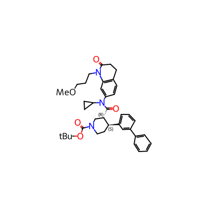 COCCCN1C(=O)CCc2ccc(N(C(=O)[C@H]3CN(C(=O)OC(C)(C)C)CC[C@@H]3c3cccc(-c4ccccc4)c3)C3CC3)cc21